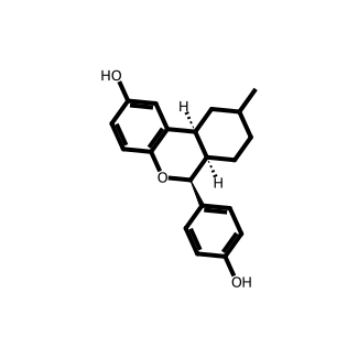 CC1CC[C@@H]2[C@H](C1)c1cc(O)ccc1O[C@@H]2c1ccc(O)cc1